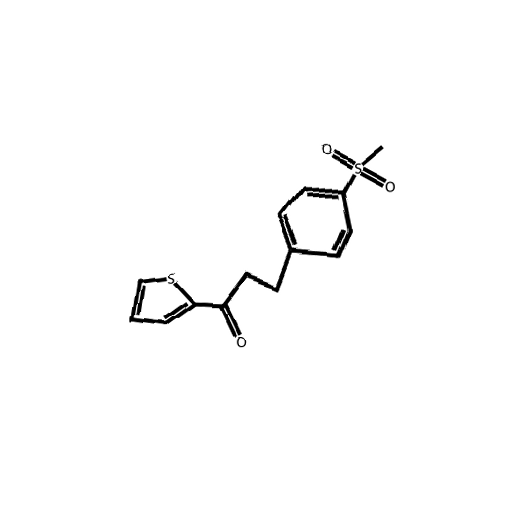 CS(=O)(=O)c1ccc(CCC(=O)c2cccs2)cc1